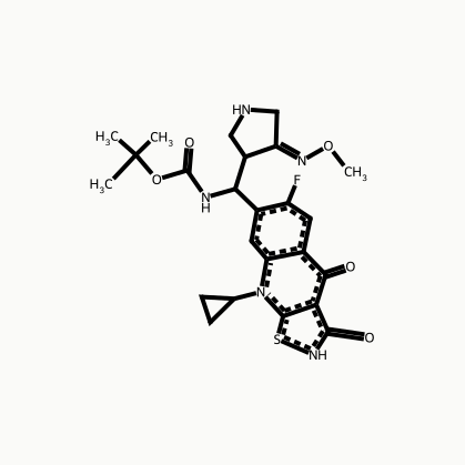 CON=C1CNCC1C(NC(=O)OC(C)(C)C)c1cc2c(cc1F)c(=O)c1c(=O)[nH]sc1n2C1CC1